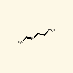 C/C=N/CCC(=O)O